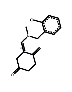 C=C1CCC(=O)C/C1=C/N(C)Cc1ccccc1Cl